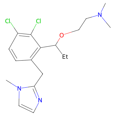 CCC(OCCN(C)C)c1c(Cc2nccn2C)ccc(Cl)c1Cl